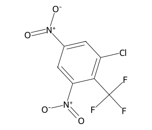 O=[N+]([O-])c1cc(Cl)c(C(F)(F)F)c([N+](=O)[O-])c1